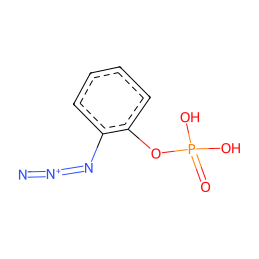 [N-]=[N+]=Nc1ccccc1OP(=O)(O)O